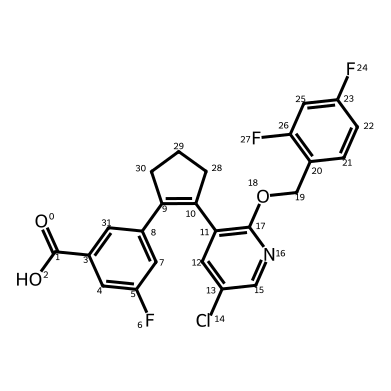 O=C(O)c1cc(F)cc(C2=C(c3cc(Cl)cnc3OCc3ccc(F)cc3F)CCC2)c1